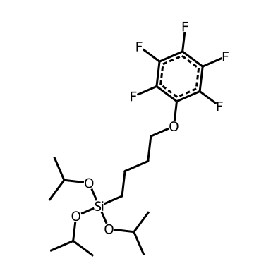 CC(C)O[Si](CCCCOc1c(F)c(F)c(F)c(F)c1F)(OC(C)C)OC(C)C